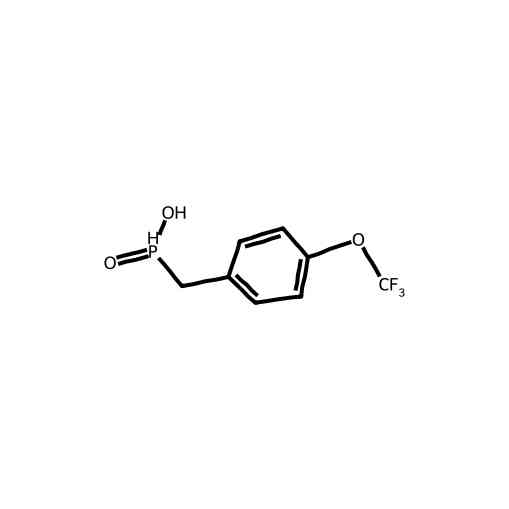 O=[PH](O)Cc1ccc(OC(F)(F)F)cc1